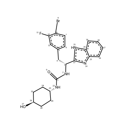 O=C(N[C@H](Cc1ccc(Br)c(F)c1)c1nc2ccccc2[nH]1)N[C@H]1CC[C@H](O)CC1